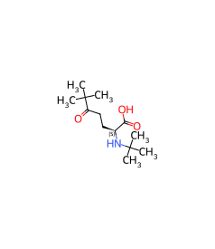 CC(C)(C)N[C@@H](CCC(=O)C(C)(C)C)C(=O)O